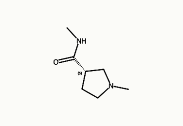 CNC(=O)[C@H]1CCN(C)C1